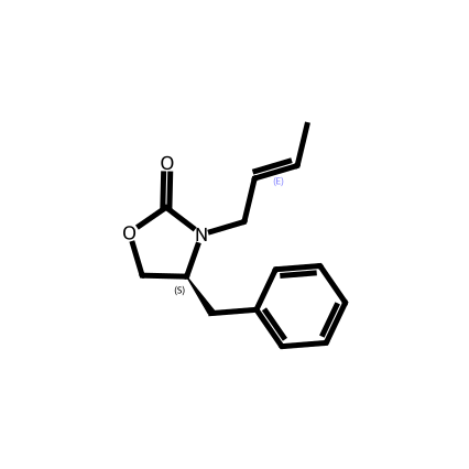 C/C=C/CN1C(=O)OC[C@@H]1Cc1ccccc1